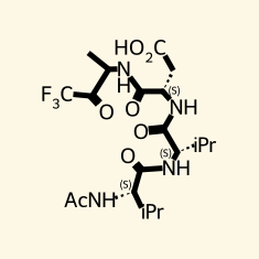 CC(=O)N[C@H](C(=O)N[C@H](C(=O)N[C@@H](CC(=O)O)C(=O)NC(C)C(=O)C(F)(F)F)C(C)C)C(C)C